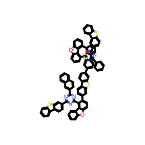 c1ccc(-c2nc(-c3ccc4sc5ccccc5c4c3)nc(-c3cccc4oc5cccc(-c6cccc7c6sc6cc(-c8ccc9c(c8)sc8cc(-c%10ccc%11oc%12ccccc%12c%11c%10-c%10nc(-c%11ccc%12ccccc%12c%11)nc(-c%11ccc%12c(c%11)sc%11ccccc%11%12)n%10)ccc89)ccc67)c5c34)n2)cc1